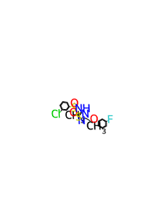 Cc1c(Cl)cccc1S(=O)(=O)Nc1nc(C(C)Oc2cccc(F)c2)ns1